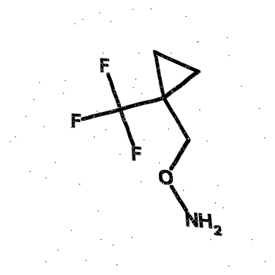 NOCC1(C(F)(F)F)CC1